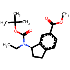 CCN(C(=O)OC(C)(C)C)[C@@H]1CCc2ccc(C(=O)OC)cc21